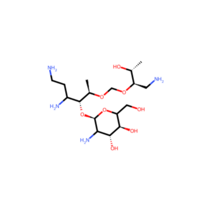 C[C@@H](O)[C@@H](CN)OCO[C@H](C)[C@H](O[C@H]1OC(CO)[C@@H](O)[C@H](O)C1N)C(N)CCN